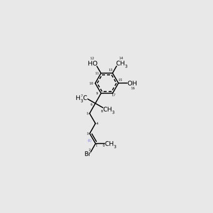 C/C(Br)=C\CCC(C)(C)c1cc(O)c(C)c(O)c1